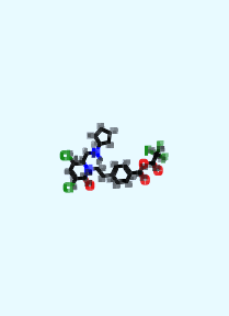 CN(Cc1c(Cl)cc(Cl)c(=O)n1CCc1ccc(C(=O)OC(=O)C(F)(F)F)cc1)C1CCCC1